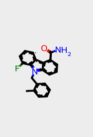 Cc1ccccc1Cn1c2cccc(C(N)=O)c2c2[c]ccc(F)c21